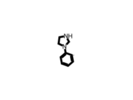 [c]1ccccc1N1CCNC1